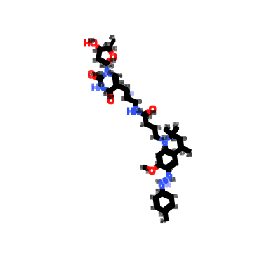 COc1cc2c(cc1/N=N/c1ccc(C)cc1)C(C)=CC(C)(C)N2CCCC(=O)NC/C=C/c1cn([C@H]2CC(O)[C@@H](C)O2)c(=O)[nH]c1=O